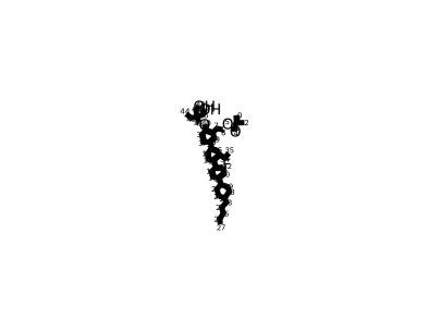 C=C(C)C(=O)OCCc1cc(-c2ccc(-c3ccc(C4CCC(CCCCC)CC4)cc3F)c(CC)c2)ccc1OCC(CC)(CO)CO